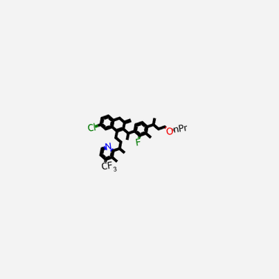 C=C1Cc2ccc(Cl)cc2C(CCC(C)c2nccc(C(F)(F)F)c2C)=C1C(C)c1ccc(C(C)CCOCCC)c(C)c1F